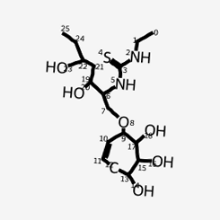 CCNC(=S)NC(COC1C=CCC(O)C(O)C1O)C(O)CC(O)CC